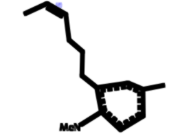 C/C=C\CCCc1cc(C)ccc1NC